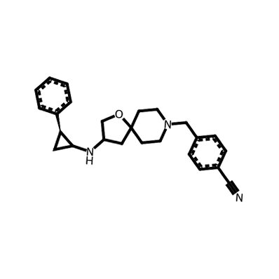 N#Cc1ccc(CN2CCC3(CC2)CC(NC2C[C@H]2c2ccccc2)CO3)cc1